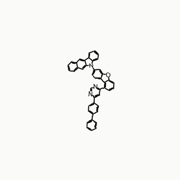 c1ccc(-c2ccc(-c3cc(-c4cccc5oc6cc(-n7c8ccccc8c8cc9ccccc9cc87)ccc6c45)ncn3)cc2)cc1